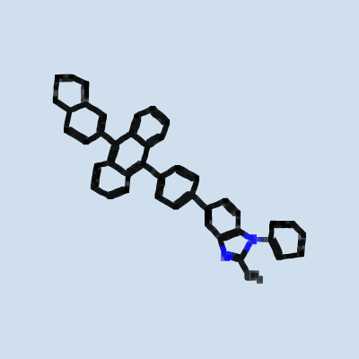 Cc1nc2cc(-c3ccc(-c4c5ccccc5c(C5=CC6=CC=CCC6C=C5)c5ccccc45)cc3)ccc2n1-c1ccccc1